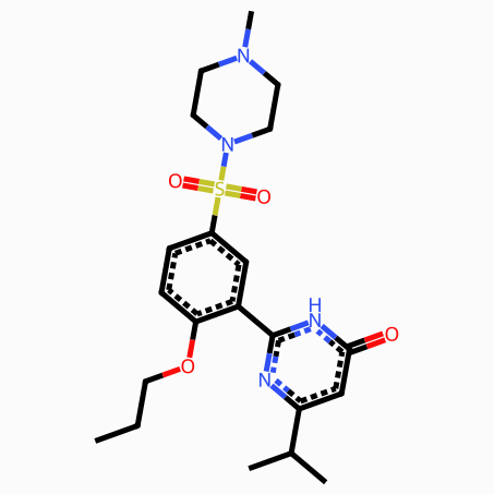 CCCOc1ccc(S(=O)(=O)N2CCN(C)CC2)cc1-c1nc(C(C)C)cc(=O)[nH]1